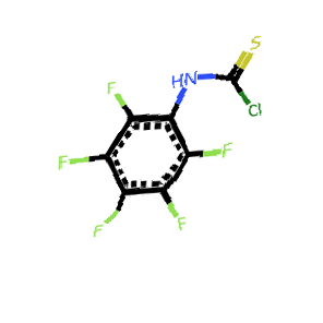 Fc1c(F)c(F)c(NC(=S)Cl)c(F)c1F